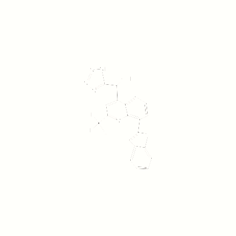 OC(c1nnn[nH]1)c1cc(C(F)(F)F)nc2c(-c3cc4ccccc4o3)cccc12